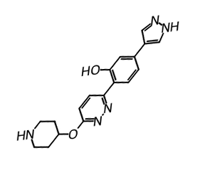 Oc1cc(-c2cn[nH]c2)ccc1-c1ccc(OC2CCNCC2)nn1